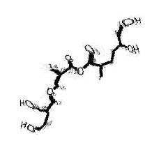 CC(=CCC(O)CO)C(=O)OC(=O)C(C)=COCC(O)CO